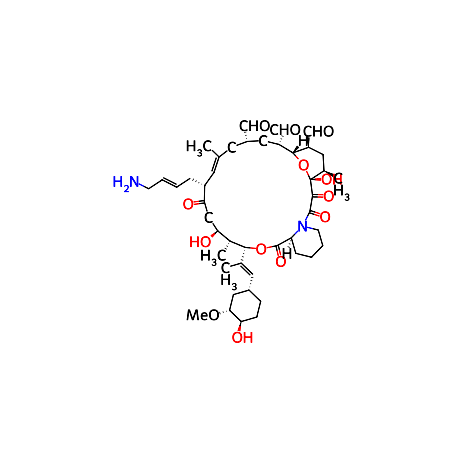 CO[C@@H]1C[C@H](/C=C(\C)[C@H]2OC(=O)[C@@H]3CCCCN3C(=O)C(=O)[C@]3(O)O[C@H]([C@@H](C=O)C[C@@H](C=O)C/C(C)=C/[C@@H](C/C=C/CN)C(=O)C[C@H](O)[C@H]2C)[C@@H](C=O)C[C@H]3C)CC[C@H]1O